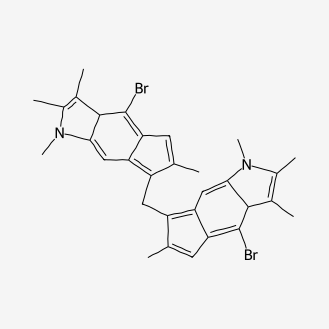 CC1=CC2=C(Br)C3C(=CC2=C1CC1=C2C=C4C(C(C)=C(C)N4C)C(Br)=C2C=C1C)N(C)C(C)=C3C